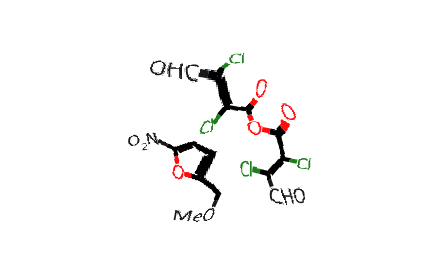 COCc1ccc([N+](=O)[O-])o1.O=CC(Cl)=C(Cl)C(=O)OC(=O)C(Cl)=C(Cl)C=O